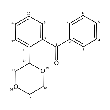 O=C(c1ccccc1)c1ccccc1C1COCCO1